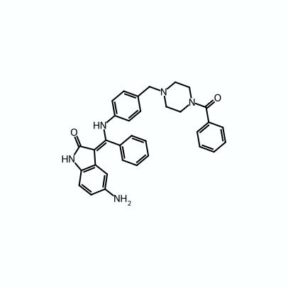 Nc1ccc2c(c1)/C(=C(/Nc1ccc(CN3CCN(C(=O)c4ccccc4)CC3)cc1)c1ccccc1)C(=O)N2